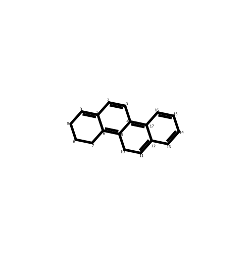 C1=c2ccc3c(c2CCC1)CC=c1ccccc1=3